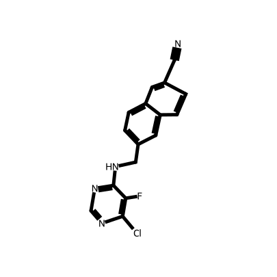 N#Cc1ccc2cc(CNc3ncnc(Cl)c3F)ccc2c1